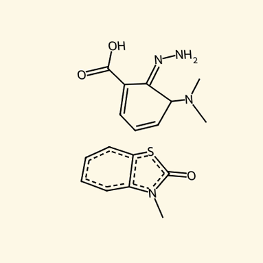 CN(C)C1C=CC=C(C(=O)O)C1=NN.Cn1c(=O)sc2ccccc21